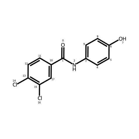 O=C(Nc1ccc(O)cc1)c1ccc(Cl)c(Cl)c1